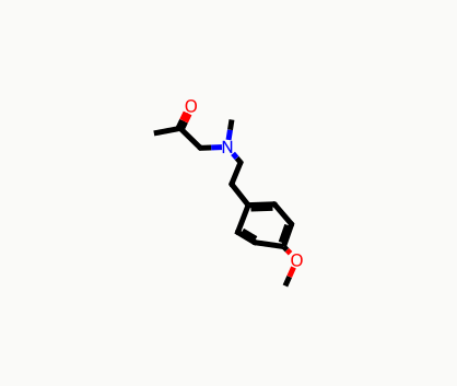 COc1ccc(CCN(C)CC(C)=O)cc1